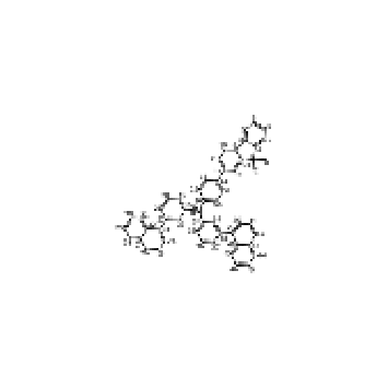 CC1(C)c2ccccc2-c2ccc(-c3ccc(N(c4cccc(-c5cccc6ccccc56)c4)c4cccc(-c5cccc6ccccc56)c4)cc3)cc21